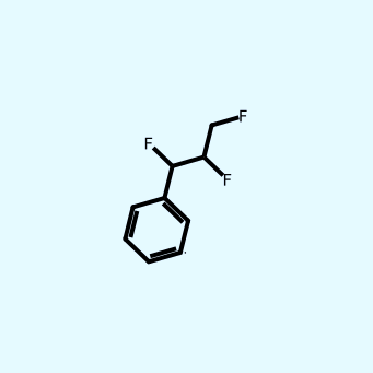 FCC(F)C(F)c1c[c]ccc1